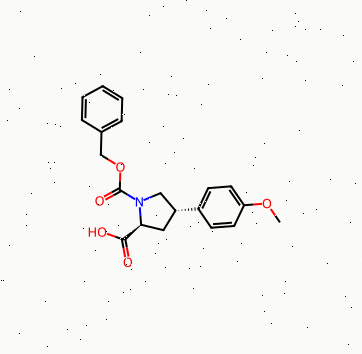 COc1ccc([C@@H]2C[C@@H](C(=O)O)N(C(=O)OCc3ccccc3)C2)cc1